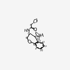 O=C(CCl)N[C@@H]1COc2ccccc2[C@H]1O